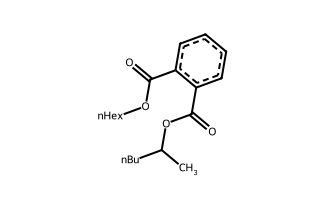 CCCCCCOC(=O)c1ccccc1C(=O)OC(C)CCCC